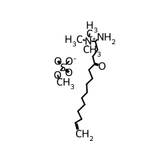 C=CCCCCCCCCC(=O)CCC(N)[N+](C)(C)C.COS(=O)(=O)[O-]